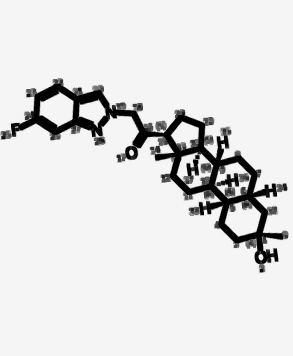 C[C@@]1(O)CC[C@H]2[C@H](CC[C@@H]3[C@@H]2CC[C@]2(C)[C@@H](C(=O)Cn4cc5ccc(F)cc5n4)CC[C@@H]32)C1